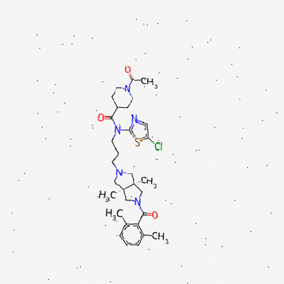 CC(=O)N1CCC(C(=O)N(CCCN2C[C@@]3(C)CN(C(=O)c4c(C)cccc4C)C[C@@]3(C)C2)c2ncc(Cl)s2)CC1